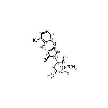 COC(=O)C(CC(C)C)N1CC(Oc2cccc(O)c2F)=CC1=O